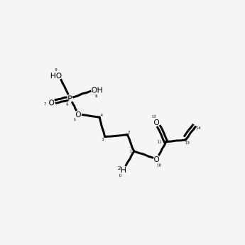 [2H]C(CCCOP(=O)(O)O)OC(=O)C=C